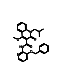 COc1c(C(=O)Nc2ncccc2OCc2ccccc2)c(=O)n(CC(C)C)c2ccccc12